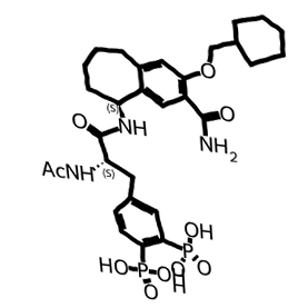 CC(=O)N[C@@H](Cc1ccc(P(=O)(O)O)c(P(=O)(O)O)c1)C(=O)N[C@H]1CCCCc2cc(OCC3CCCCC3)c(C(N)=O)cc21